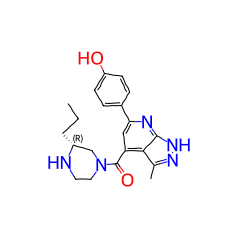 CCC[C@@H]1CN(C(=O)c2cc(-c3ccc(O)cc3)nc3[nH]nc(C)c23)CCN1